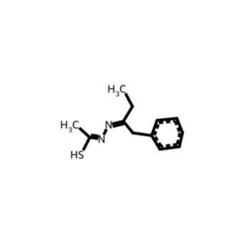 CC/C(Cc1ccccc1)=N/N=C(\C)S